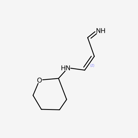 N=C/C=C\NC1CCCCO1